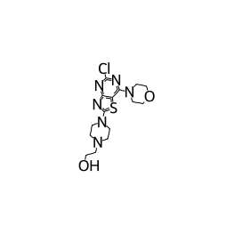 OCCN1CCN(c2nc3nc(Cl)nc(N4CCOCC4)c3s2)CC1